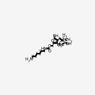 B[C@@H]1O[C@H](COC(=O)NCCCCCCN)C(O)[C@@H]1CC(C)(C)[Si](C)(C)O